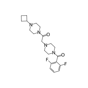 O=C(CN1CCN(C(=O)c2c(F)cccc2F)CC1)N1CCN(C2CCC2)CC1